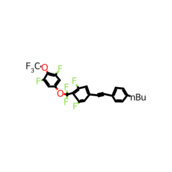 CCCCc1ccc(C#Cc2cc(F)c(C(F)(F)Oc3cc(F)c(OC(F)(F)F)c(F)c3)c(F)c2)cc1